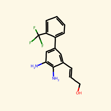 Nc1cc(-c2ccccc2C(F)(F)F)cc(/C=C/CO)c1N